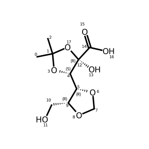 CC1(C)O[C@@H]([C@@H]2OCO[C@@H]2CO)[C@](O)(C(=O)O)O1